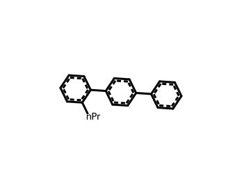 CCCc1ccccc1-c1ccc(-c2ccccc2)cc1